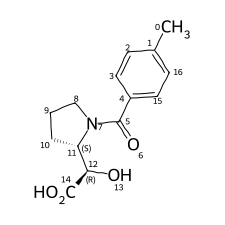 Cc1ccc(C(=O)N2CCC[C@H]2[C@@H](O)C(=O)O)cc1